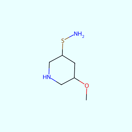 COC1CNCC(SN)C1